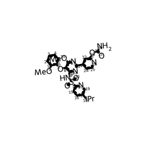 COc1ccccc1Oc1c(NS(=O)(=O)c2ccc(C(C)C)cn2)nc(-c2ccnc(OC(N)=O)c2)nc1OC